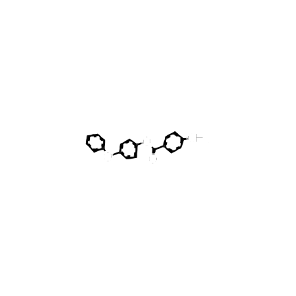 Cc1ccc(C(=O)Oc2ccc(Oc3ccccc3)cc2)cc1